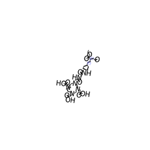 CCOC(=O)C(/C=C/c1ccc(NC(=O)CNC(=O)CN2CCN(CC(=O)O)CCN(CC(=O)O)CCN(CC(=O)O)CC2)cc1)=C/C=O